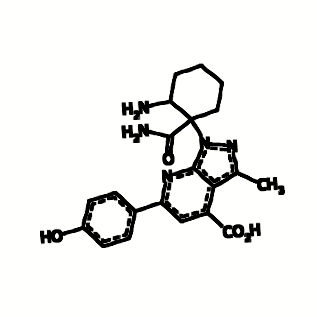 Cc1nn(C2(C(N)=O)CCCCC2N)c2nc(-c3ccc(O)cc3)cc(C(=O)O)c12